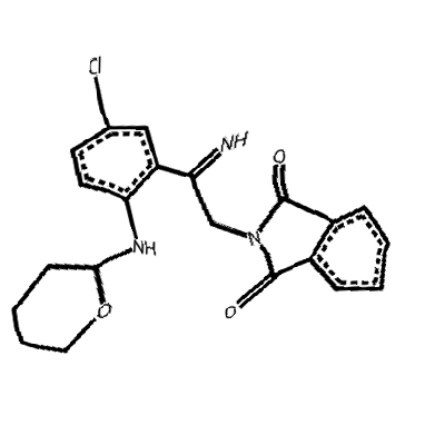 N=C(CN1C(=O)c2ccccc2C1=O)c1cc(Cl)ccc1NC1CCCCO1